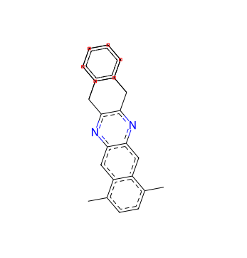 Cc1ccc(C)c2cc3nc4c(nc3cc12)C1c2ccccc2C4c2ccccc21